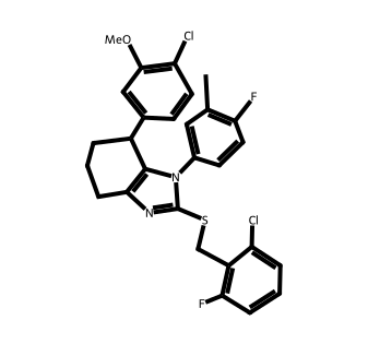 COc1cc(C2CCCc3nc(SCc4c(F)cccc4Cl)n(-c4ccc(F)c(C)c4)c32)ccc1Cl